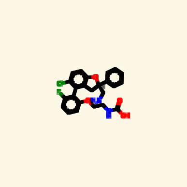 NC[C@@]1(c2ccccc2)Cc2c(ccc(Cl)c2-c2c(F)cccc2OCCNC(=O)O)O1